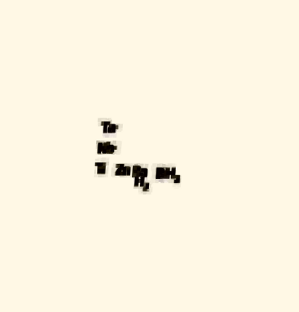 [BaH2].[BiH3].[Nb].[Ta].[Ti].[Zn]